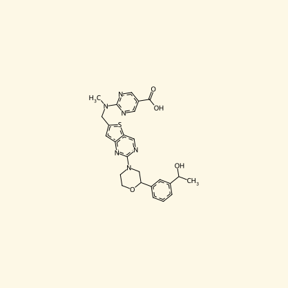 CC(O)c1cccc(C2CN(c3ncc4sc(CN(C)c5ncc(C(=O)O)cn5)cc4n3)CCO2)c1